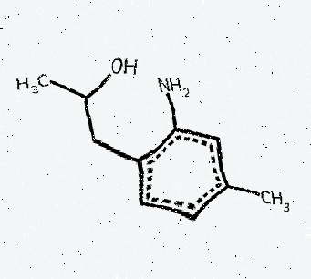 Cc1ccc(CC(C)O)c(N)c1